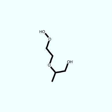 CC(CO)OCCOO